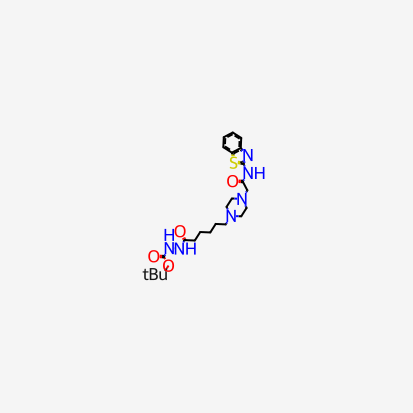 CC(C)(C)OC(=O)NNC(=O)CCCCCN1CCN(CC(=O)Nc2nc3ccccc3s2)CC1